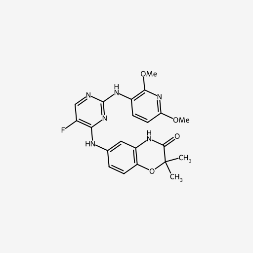 COc1ccc(Nc2ncc(F)c(Nc3ccc4c(c3)NC(=O)C(C)(C)O4)n2)c(OC)n1